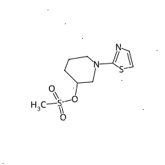 CS(=O)(=O)OC1CCCN(c2nccs2)C1